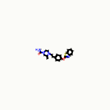 C=C1CN(C(N)=O)CCN1CCc1ccc(Oc2nc3ccccc3s2)cc1